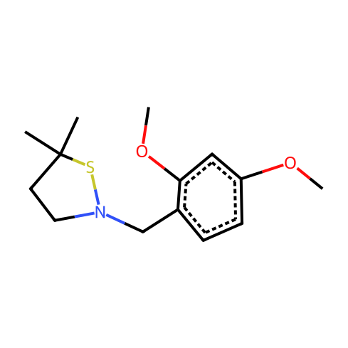 COc1ccc(CN2CCC(C)(C)S2)c(OC)c1